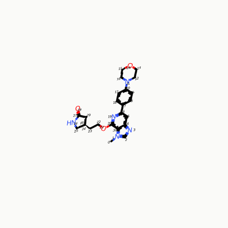 Cn1cnc2cc(-c3ccc(N4CCOCC4)cc3)nc(OCC[C@H]3CNC(=O)C3)c21